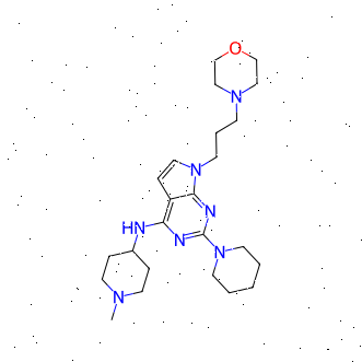 CN1CCC(Nc2nc(N3CCCCC3)nc3c2ccn3CCCN2CCOCC2)CC1